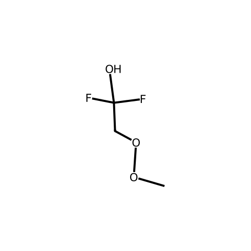 COOCC(O)(F)F